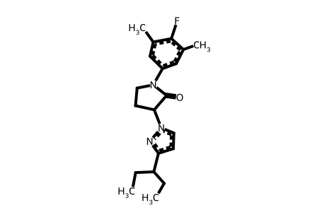 CCC(CC)c1ccn(C2CCN(c3cc(C)c(F)c(C)c3)C2=O)n1